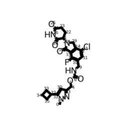 Cn1nc(COC(=O)NCc2cc(Cl)c3c(c2F)C(=O)N(C2CCC(=O)NC2=O)C3)cc1C1CCC1